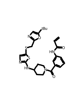 C=CC(=O)Nc1cccc(C(=O)N2CCC(Nc3ncc(SCc4ncc(C(C)(C)C)o4)s3)CC2)c1